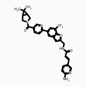 CC1(C)C2CN(C(=O)c3ccc(-c4cc(C(F)(F)F)c5oc(CNC(=O)C=Cc6ccc(N)nc6)cc5c4)nc3)CC21